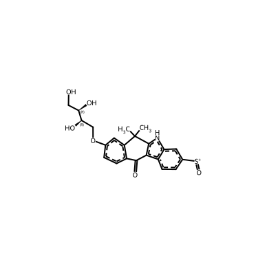 CC1(C)c2cc(OC[C@@H](O)[C@H](O)CO)ccc2C(=O)c2c1[nH]c1cc([S+]=O)ccc21